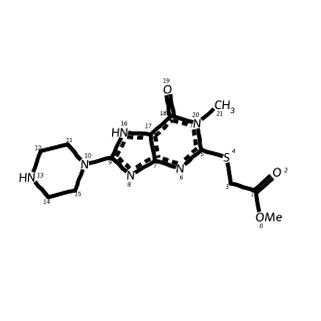 COC(=O)CSc1nc2nc(N3CCNCC3)[nH]c2c(=O)n1C